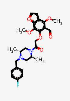 COc1c(C=O)c(OCC(=O)N2C[C@@H](C)N(Cc3ccc(F)cc3)C[C@@H]2C)c(OC)c2occc12